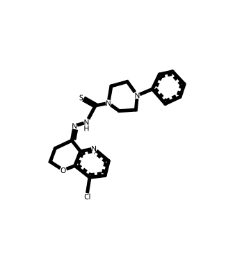 S=C(N/N=C1/CCOc2c(Cl)ccnc21)N1CCN(c2ccccc2)CC1